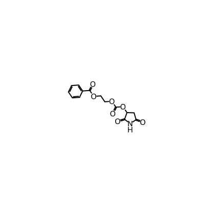 O=C1CC(OC(=O)OCCOC(=O)c2ccccc2)C(=O)N1